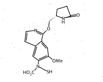 COc1cc2c(OC[C@@H]3CCC(=O)N3)nccc2cc1N(S)C(=O)O